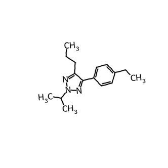 CCCc1nn(C(C)C)nc1-c1ccc(CC)cc1